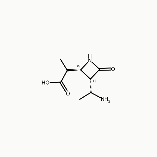 CC(C(=O)O)[C@H]1NC(=O)[C@@H]1C(C)N